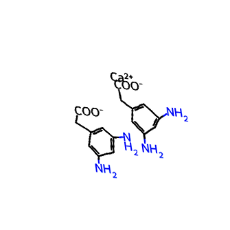 Nc1cc(N)cc(CC(=O)[O-])c1.Nc1cc(N)cc(CC(=O)[O-])c1.[Ca+2]